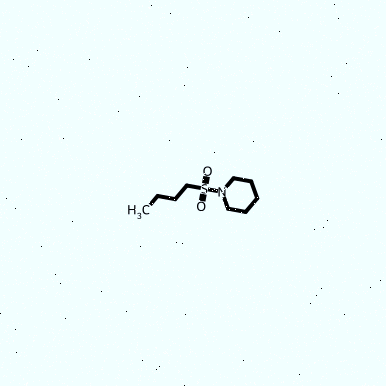 CCCCS(=O)(=O)N1CCCCC1